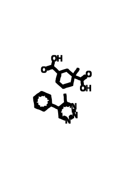 CC1(C(=O)O)C=CC=C(C(=O)O)C1.Cc1nnncc1-c1ccccc1